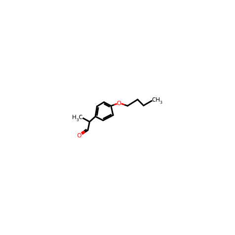 CCCCOc1ccc(C(C)C=O)cc1